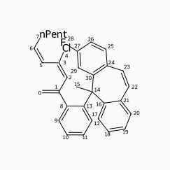 C=C(/C=C(Cl)\C=C/CCCCC)c1ccccc1C1(C)c2ccccc2C=Cc2ccc(F)cc21